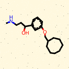 CNCCC(O)c1cccc(OCC2CCCCCCC2)c1